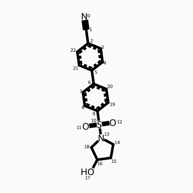 N#Cc1ccc(-c2ccc(S(=O)(=O)N3CCC(O)C3)cc2)cc1